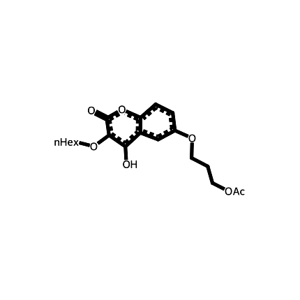 CCCCCCOc1c(O)c2cc(OCCCOC(C)=O)ccc2oc1=O